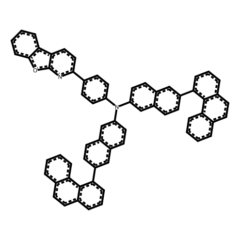 c1ccc2c(c1)ccc1cccc(-c3ccc4cc(N(c5ccc(-c6ccc7c(n6)oc6ccccc67)cc5)c5ccc6cc(-c7cccc8ccc9ccccc9c78)ccc6c5)ccc4c3)c12